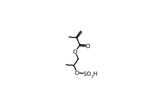 C=C(C)C(=O)OCC(C)OS(=O)(=O)O